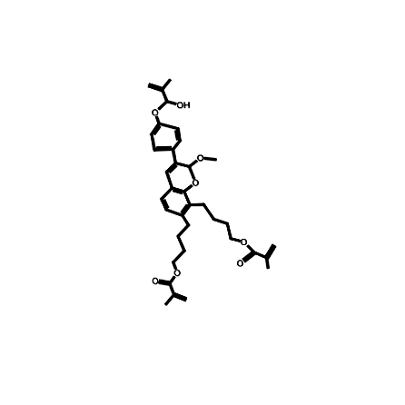 C=C(C)C(=O)OCCCCc1ccc2c(c1CCCCOC(=O)C(=C)C)OC(OC)C(c1ccc(OC(O)C(=C)C)cc1)=C2